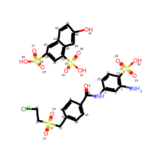 Nc1cc(NC(=O)c2ccc(CS(=O)(=O)CCCl)cc2)ccc1S(=O)(=O)O.O=S(=O)(O)c1cc(S(=O)(=O)O)c2cc(O)ccc2c1